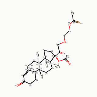 CCC(=O)O[C@]1(C(=O)COCCOC(=S)CC)CC[C@H]2[C@@H]3CCC4=CC(=O)CC[C@]4(C)[C@H]3CC[C@@]21C